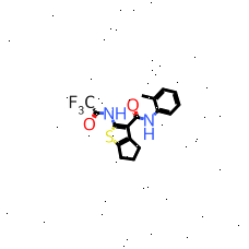 Cc1ccccc1NC(=O)c1c(NC(=O)C(F)(F)F)sc2c1CCC2